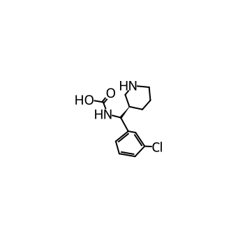 O=C(O)NC(c1cccc(Cl)c1)[C@@H]1CCCNC1